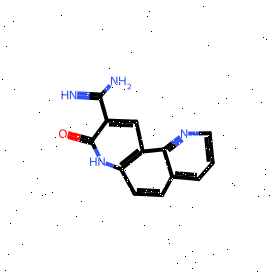 N=C(N)c1cc2c(ccc3cccnc32)[nH]c1=O